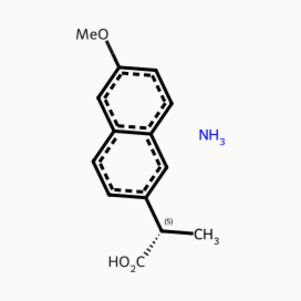 COc1ccc2cc([C@H](C)C(=O)O)ccc2c1.N